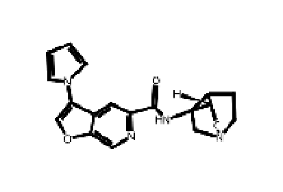 O=C(N[C@H]1CN2CCC1CC2)c1cc2c(-n3cccc3)coc2cn1